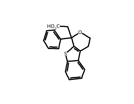 O=C(O)CC1(c2ccccc2)OCCc2c1sc1ccccc21